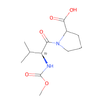 COC(=O)N[C@H](C(=O)N1CCCC1C(=O)O)C(C)C